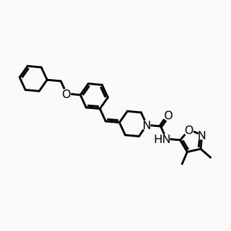 Cc1noc(NC(=O)N2CCC(=Cc3cccc(OCC4CC=CCC4)c3)CC2)c1C